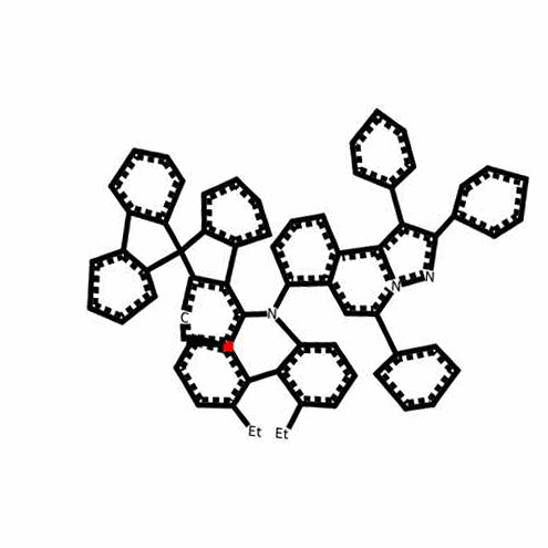 CCc1ccccc1-c1c(CC)cccc1N(c1cccc2c1-c1ccccc1C21c2ccccc2-c2ccccc21)c1cccc2c1cc(-c1ccccc1)n1nc(-c3ccccc3)c(-c3ccccc3)c21